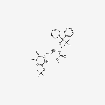 COC(=O)[C@H](CCN[C@H](CO[Si](c1ccccc1)(c1ccccc1)C(C)(C)C)C(=O)OC)NC(=O)OC(C)(C)C